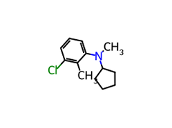 Cc1c(Cl)cccc1N(C)C1CCCC1